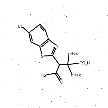 CCCCCCC(CCCCCC)(C(=O)O)C(C(=O)S)c1nc2ccc(CC)cc2s1